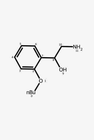 CCCCOc1ccccc1C(O)CN